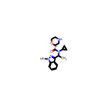 [CH2]CCn1nc(C(C)N(C(=O)[C@H]2CNCCO2)C2CC2)c2ccccc21